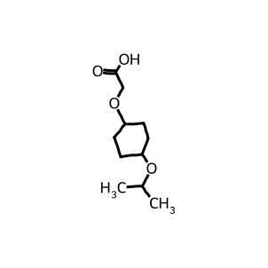 CC(C)OC1CCC(OCC(=O)O)CC1